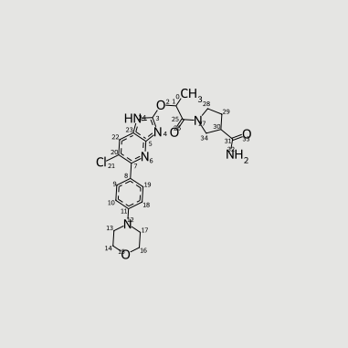 CC(Oc1nc2nc(-c3ccc(N4CCOCC4)cc3)c(Cl)cc2[nH]1)C(=O)N1CCC(C(N)=O)C1